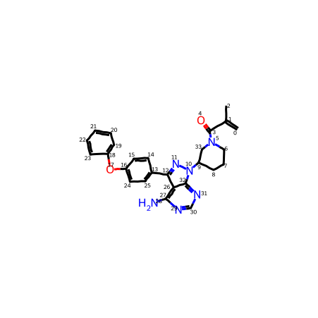 C=C(C)C(=O)N1CCCC(n2nc(-c3ccc(Oc4ccccc4)cc3)c3c(N)ncnc32)C1